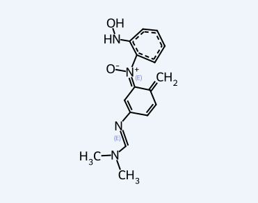 C=C1C=CC(/N=C/N(C)C)=CC/1=[N+](\[O-])c1ccccc1NO